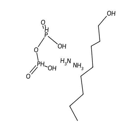 CCCCCCCCO.N.N.O=[PH](O)O[PH](=O)O